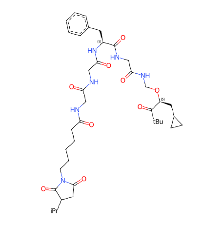 CC(C)C1CC(=O)N(CCCCCC(=O)NCC(=O)NCC(=O)N[C@@H](Cc2ccccc2)C(=O)NCC(=O)NCO[C@@H](CC2CC2)C(=O)C(C)(C)C)C1=O